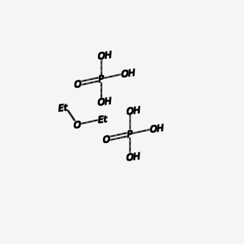 CCOCC.O=P(O)(O)O.O=P(O)(O)O